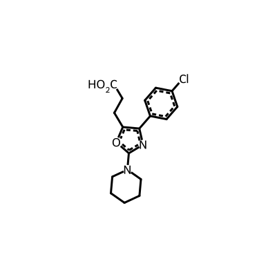 O=C(O)CCc1oc(N2CCCCC2)nc1-c1ccc(Cl)cc1